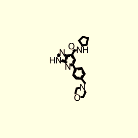 O=C(NC1CCCC1)c1cc(-c2ccc(CN3CCOCC3)cc2)nc2[nH]cnc12